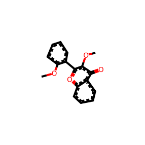 COc1ccccc1-c1oc2ccccc2c(=O)c1OC